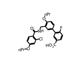 CCCOc1ccc(C(=O)NCc2cc(-c3cc(C(=O)O)ccc3F)ccc2OCCC)c(Cl)c1